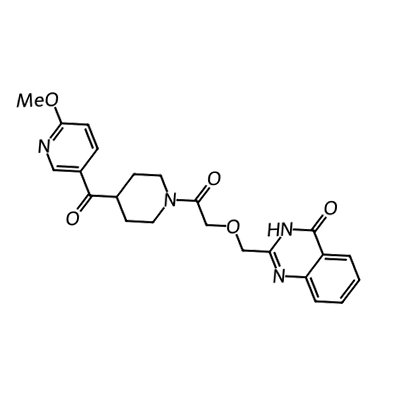 COc1ccc(C(=O)C2CCN(C(=O)COCc3nc4ccccc4c(=O)[nH]3)CC2)cn1